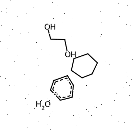 C1CCCCC1.O.OCCO.c1ccccc1